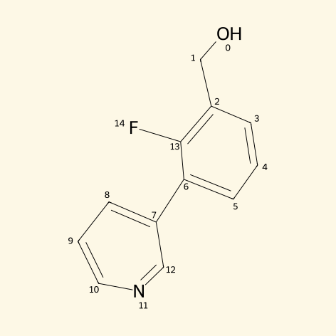 OCc1cccc(-c2cccnc2)c1F